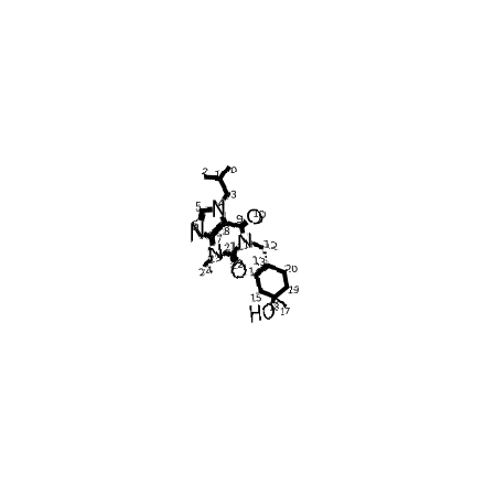 CC(C)Cn1cnc2c1c(=O)n(C[C@H]1CC[C@@](C)(O)CC1)c(=O)n2C